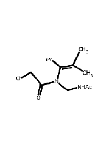 CC(=O)NCN(C(=O)CCl)C(=C(C)C)C(C)C